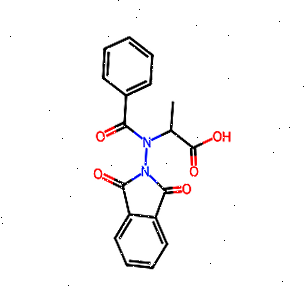 CC(C(=O)O)N(C(=O)c1ccccc1)N1C(=O)c2ccccc2C1=O